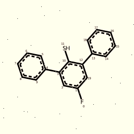 Fc1cc(-c2ccccc2)c(S)c(-c2ccccc2)c1